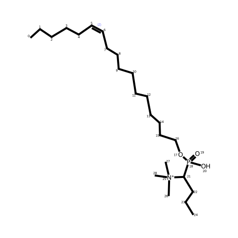 CCCCC/C=C\CCCCCCCCCCOP(=O)(O)C(CCC)[N+](C)(C)C